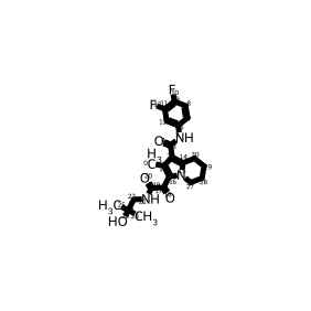 Cc1c(C(=O)Nc2ccc(F)c(F)c2)c2n(c1C(=O)C(=O)NCC(C)(C)O)CCCC2